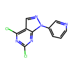 Clc1nc(Cl)c2cnn(-c3cccnc3)c2n1